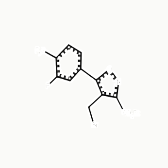 CCOC(=O)c1noc(-c2ccc(C(F)(F)F)c(F)c2)c1CBr